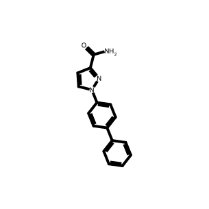 NC(=O)c1ccn(-c2ccc(-c3ccccc3)cc2)n1